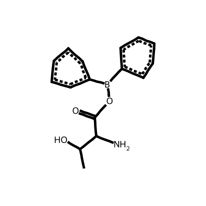 CC(O)C(N)C(=O)OB(c1ccccc1)c1ccccc1